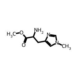 COC(=O)C(N)Cc1cn(C)cn1